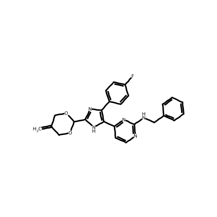 C=C1COC(c2nc(-c3ccc(F)cc3)c(-c3ccnc(NCc4ccccc4)n3)[nH]2)OC1